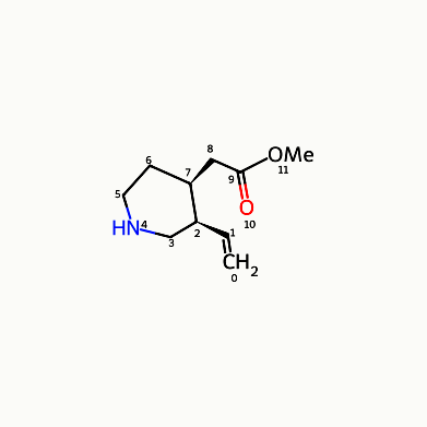 C=C[C@H]1CNCC[C@H]1CC(=O)OC